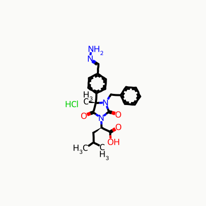 CC(C)C[C@H](C(=O)O)N1C(=O)N(Cc2ccccc2)[C@@](C)(c2ccc(C=NN)cc2)C1=O.Cl